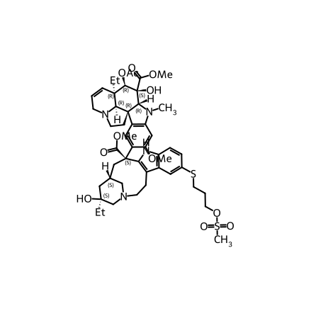 CC[C@]1(O)C[C@H]2CN(CCc3c([nH]c4ccc(SCCCOS(C)(=O)=O)cc34)[C@@](C(=O)OC)(c3cc4c(cc3OC)N(C)[C@H]3[C@@](O)(C(=O)OC)[C@H](OC(C)=O)[C@]5(CC)C=CCN6CC[C@]43[C@@H]65)C2)C1